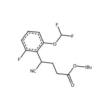 CC(C)(C)OC(=O)CCC(C#N)c1c(F)cccc1OC(F)F